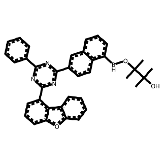 CC(C)(O)C(C)(C)OBc1cccc2cc(-c3nc(-c4ccccc4)nc(-c4cccc5oc6ccccc6c45)n3)ccc12